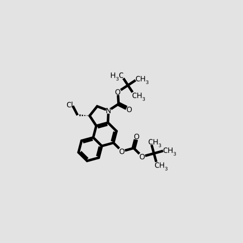 CC(C)(C)OC(=O)Oc1cc2c(c3ccccc13)[C@H](CCl)CN2C(=O)OC(C)(C)C